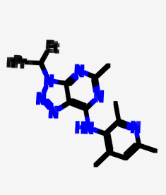 CCCC(CC)n1nnc2c(Nc3c(C)cc(C)nc3C)nc(C)nc21